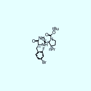 CCC[C@H]1CCN(C(=O)OC(C)(C)C)[C@@H]1C(=O)N[C@@H](Cc1ccc(Br)cc1F)C(N)=O